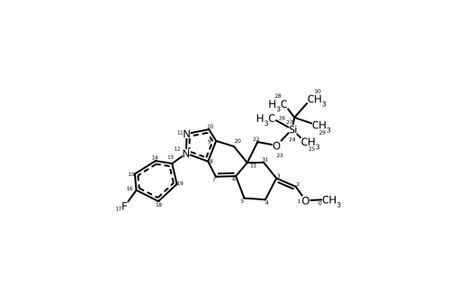 COC=C1CCC2=Cc3c(cnn3-c3ccc(F)cc3)CC2(CO[Si](C)(C)C(C)(C)C)C1